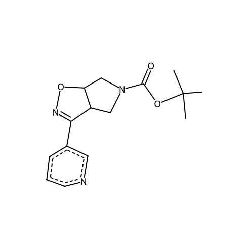 CC(C)(C)OC(=O)N1CC2ON=C(c3cccnc3)C2C1